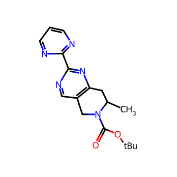 CC1Cc2nc(-c3ncccn3)ncc2CN1C(=O)OC(C)(C)C